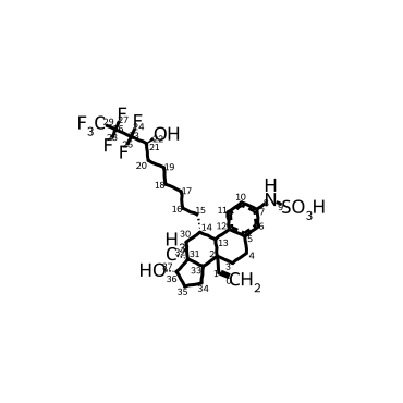 C=CC12CCc3cc(NS(=O)(=O)O)ccc3C1[C@@H](CCCCCC[C@H](O)C(F)(F)C(F)(F)C(F)(F)F)C[C@@]1(C)C2CC[C@@H]1O